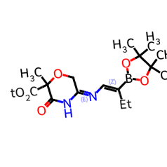 CCOC(=O)C1(C)OC/C(=N\C=C(/CC)B2OC(C)(C)C(C)(C)O2)NC1=O